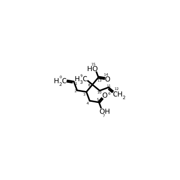 C=CCC(CC(=O)O)C(C)(CC=C)C(=O)O